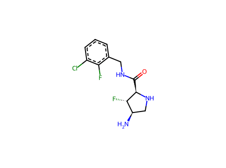 N[C@@H]1CN[C@H](C(=O)NCc2cccc(Cl)c2F)[C@H]1F